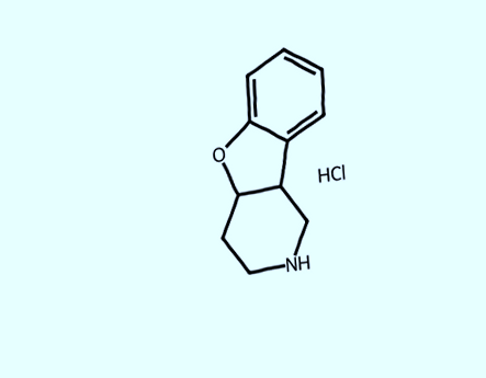 Cl.c1ccc2c(c1)OC1CCNCC21